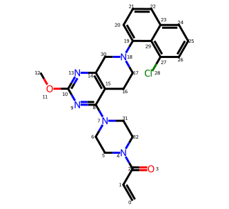 C=CC(=O)N1CCN(c2nc(OC)nc3c2CCN(c2cccc4cccc(Cl)c24)C3)CC1